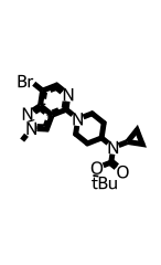 Cn1cc2c(N3CCC(N(C(=O)OC(C)(C)C)C4CC4)CC3)ncc(Br)c2n1